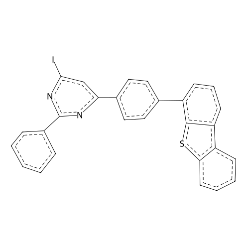 Ic1cc(-c2ccc(-c3cccc4c3sc3ccccc34)cc2)nc(-c2ccccc2)n1